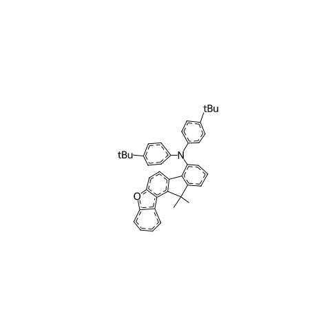 CC(C)(C)c1ccc(N(c2ccc(C(C)(C)C)cc2)c2cccc3c2-c2ccc4oc5ccccc5c4c2C3(C)C)cc1